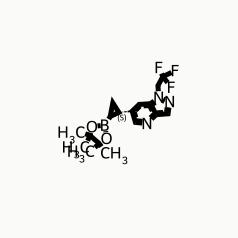 CC1(C)OB(C2C[C@@H]2c2cnc3cnn(CC(F)(F)F)c3c2)OC1(C)C